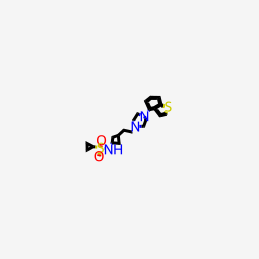 O=S(=O)(NC1CC(CCN2CCN(c3cccc4sccc34)CC2)C1)C1CC1